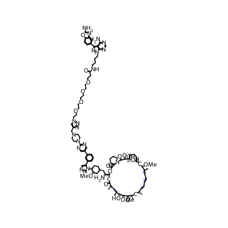 CO[C@H]1C[C@@H]2CC[C@@H](C)[C@@](O)(O2)C(=O)C(=O)N2CCCC[C@H]2C(=O)O[C@H]([C@H](N)C[C@@H]2CC[C@H](n3nncc3-c3cccc(-c4cnc(N5CCN(Cc6cn(CCOCCOCCOCCOCCC(=O)NCCCCn7nc(-c8ccc9oc(N)nc9c8)c8c(N)ncnc87)nn6)CC5)nc4)c3)[C@H](OC)C2)CC(=O)[C@H](C)/C=C(\C)[C@@H](O)[C@@H](OC)C(=O)[C@H](C)C[C@H](C)/C=C/C=C/C=C/1C